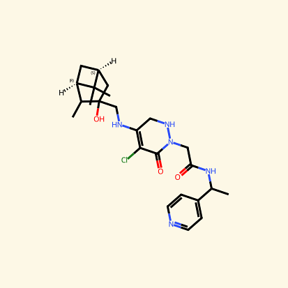 CC(NC(=O)CN1NCC(NCC2(O)C[C@@H]3C[C@H](C2C)C3(C)C)=C(Cl)C1=O)c1ccncc1